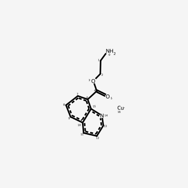 NCCOC(=O)c1cccc2cccnc12.[Cu]